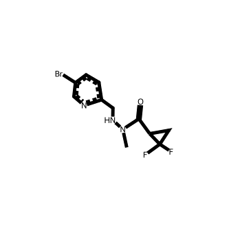 CN(NCc1ccc(Br)cn1)C(=O)C1CC1(F)F